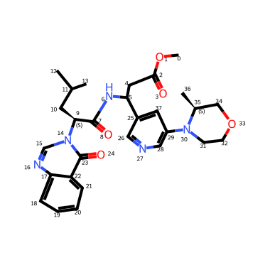 COC(=O)CC(NC(=O)[C@H](CC(C)C)n1cnc2ccccc2c1=O)c1cncc(N2CCOC[C@@H]2C)c1